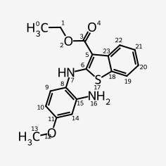 CCOC(=O)c1c(Nc2ccc(OC)cc2N)sc2ccccc12